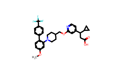 COc1ccc(-c2ccc(C(F)(F)F)cc2)c(N2CCC(COc3cc(C(CC(=O)O)C4CC4)ccn3)CC2)c1